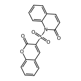 O=c1oc2ccccc2cc1S(=O)(=O)n1c(=O)ccc2ccccc21